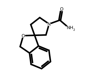 NC(=O)N1CCC2(C1)OCc1ccccc12